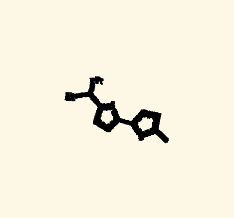 CCCC(CC)c1ccc(-c2ccc(C)s2)s1